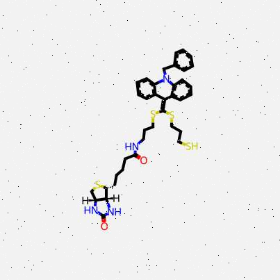 O=C(CCCC[C@H]1SC[C@H]2NC(=O)N[C@H]21)NCCCSC(SCCCS)=C1c2ccccc2N(Cc2ccccc2)c2ccccc21